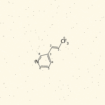 FC(F)(F)C=Cc1cccnc1